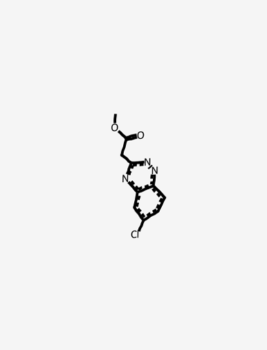 COC(=O)Cc1nnc2ccc(Cl)cc2n1